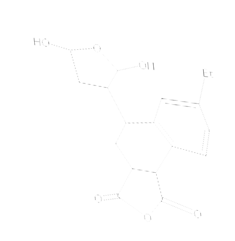 CCc1ccc2c(c1)C(C1CC(O)OC1O)CC1C(=O)OC(=O)C21